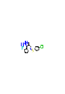 Fc1cccc2c1-c1[nH]ncc1CN2Sc1ccc(Cl)cc1